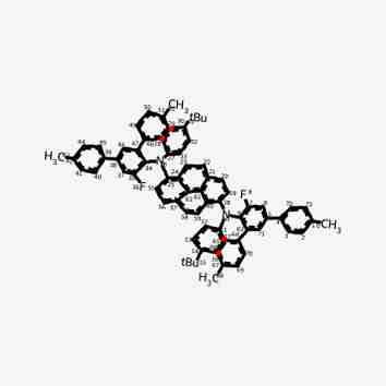 Cc1ccc(-c2cc(F)c(N(c3ccc(C(C)(C)C)cc3)c3ccc4ccc5c(N(c6ccc(C(C)(C)C)cc6)c6c(F)cc(-c7ccc(C)cc7)cc6-c6ccc(C)cc6)ccc6ccc3c4c65)c(-c3ccc(C)cc3)c2)cc1